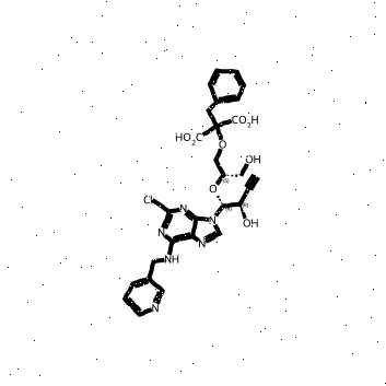 C#C[C@@H](O)[C@@H](O[C@@H](CO)COC(Cc1ccccc1)(C(=O)O)C(=O)O)n1cnc2c(NCc3cccnc3)nc(Cl)nc21